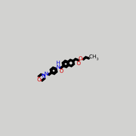 CCCCOC(=O)CC1CCc2cc(C(=O)Nc3ccc(C=NN4CCOCC4)cc3)ccc2C1